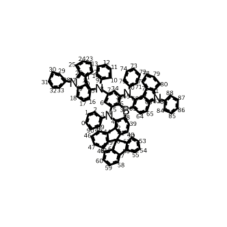 c1ccc(N2c3cc(N(c4ccccc4)c4cccc5c4c4ccccc4n5-c4ccccc4)cc4c3B(c3ccc5c(c32)-c2ccccc2C52c3ccccc3-c3ccccc32)c2ccc3c(c2N4c2ccccc2)c2ccccc2n3-c2ccccc2)cc1